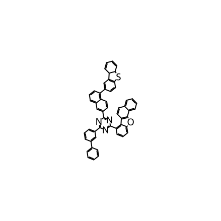 C1=CC2Sc3ccc(-c4cccc5cc(-c6nc(-c7cccc(-c8ccccc8)c7)nc(-c7cccc8oc9c%10ccccc%10ccc9c78)n6)ccc45)cc3C2C=C1